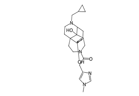 Cn1cnc(CC(=O)N2CCC34CCN(CC5CC5)C(Cc5ccc(O)cc53)C4(O)CC2)c1